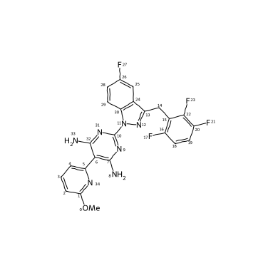 COc1cccc(-c2c(N)nc(-n3nc(Cc4c(F)ccc(F)c4F)c4cc(F)ccc43)nc2N)n1